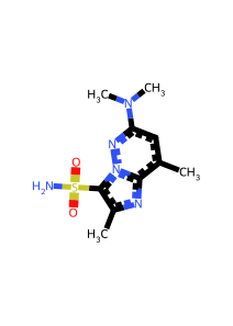 Cc1nc2c(C)cc(N(C)C)nn2c1S(N)(=O)=O